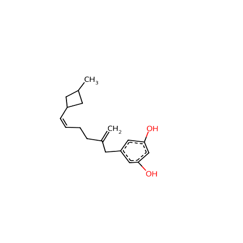 C=C(CC/C=C\C1CC(C)C1)Cc1cc(O)cc(O)c1